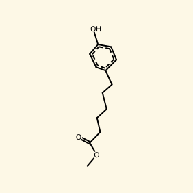 COC(=O)CCCCCc1ccc(O)cc1